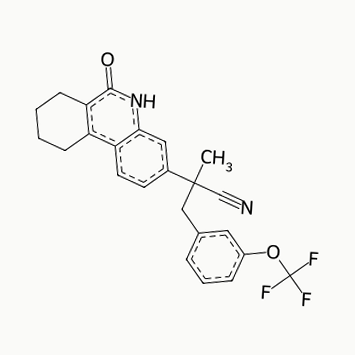 CC(C#N)(Cc1cccc(OC(F)(F)F)c1)c1ccc2c3c(c(=O)[nH]c2c1)CCCC3